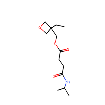 CCC1(COC(=O)CCC(=O)NC(C)C)COC1